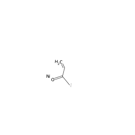 [C]C(=O)C=C.[Ni]